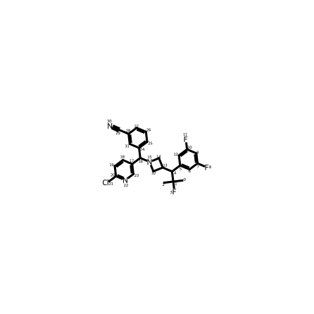 CC(C)(F)C(c1cc(F)cc(F)c1)C1CN(C(c2ccc(Cl)nc2)c2cccc(C#N)c2)C1